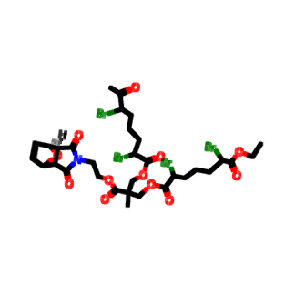 CCOC(=O)C(Br)CCCC(Br)C(=O)OCC(C)(COC(=O)C(Br)CCCC(Br)C(C)=O)C(=O)OCCN1C(=O)C2C3C=CC(O3)[C@H]2C1=O